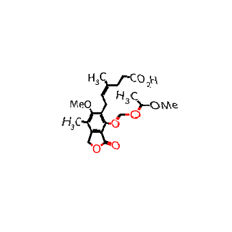 COc1c(C)c2c(c(OCOC(C)OC)c1CC=C(C)CCC(=O)O)C(=O)OC2